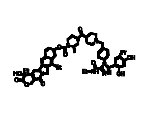 CCNC(=O)c1nnc(-c2cc(C(C)C)c(O)cc2O)n1C1C=CC(CN2CCC(C(=O)N3CCN(C(=O)Oc4ccc5nc6c(c(CC)c5c4)Cn4c-6cc5c(c4=O)COC(=O)C5(O)CC)C(C)C3)CC2)=CC1